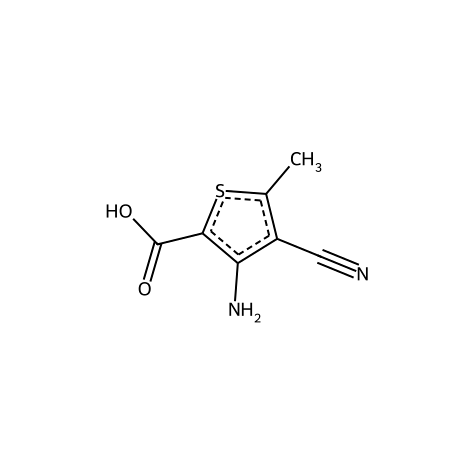 Cc1sc(C(=O)O)c(N)c1C#N